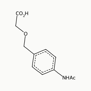 CC(=O)Nc1ccc(COCC(=O)O)cc1